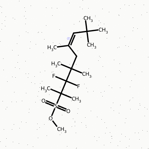 COS(=O)(=O)C(C)(C)C(F)(F)C(C)(C)C/C(C)=C\C(C)(C)C